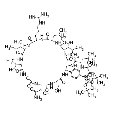 CC[C@H](C)[C@@H]1NC(=O)[C@@H](CCCNC(=N)N)NC(=O)[C@H](CC(C)C)NC(=O)[C@H]([C@H](O)C(C)C)NC(=O)[C@@H](NC(=O)[C@H](CC(C)(C)C)NC(=O)[C@@H](CC(C)(C)C)NC(=O)OC(C)(C)C)[C@@H](c2ccc(N(C)C)cc2)NC(=O)[C@H](CO)NC(=O)[C@H]([C@H](O)C(N)=O)NC(=O)CNC(=O)[C@H]([C@H](C)O)NC1=O